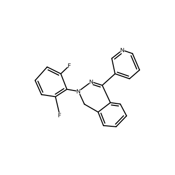 Fc1cccc(F)c1N1Cc2ccccc2C(c2cccnc2)=N1